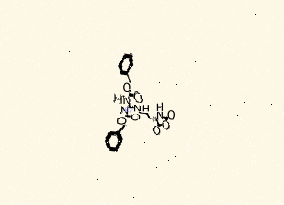 O=C(/N=C(\NCCC[C@@H]1NC(=O)OC1=O)NC(=O)OCc1ccccc1)OCc1ccccc1